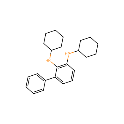 c1ccc(-c2cccc(PC3CCCCC3)c2PC2CCCCC2)cc1